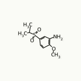 COc1ccc(S(=O)(=O)C(C)C)cc1N